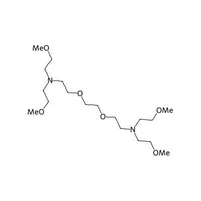 COCCN(CCOC)CCOCCOCCN(CCOC)CCOC